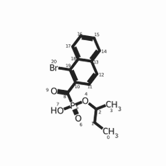 CCC(C)OP(=O)(O)C(=O)c1ccc2ccccc2c1Br